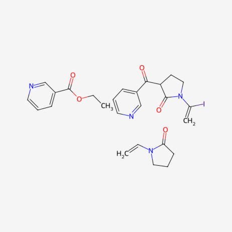 C=C(I)N1CCC(C(=O)c2cccnc2)C1=O.C=CN1CCCC1=O.CCOC(=O)c1cccnc1